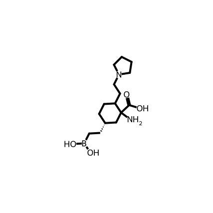 NC1(C(=O)O)C[C@H](CCB(O)O)CCC1CCN1CCCC1